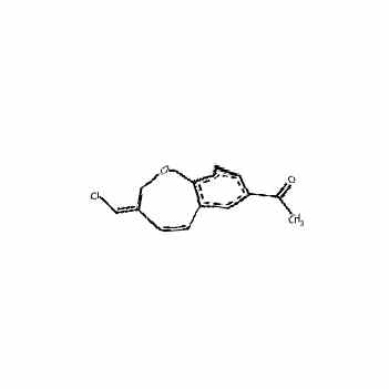 CC(=O)c1ccc2c(c1)C=C/C(=C/Cl)CO2